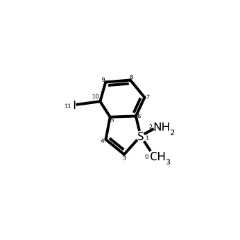 CS1(N)C=CC2C1=CC=CC2I